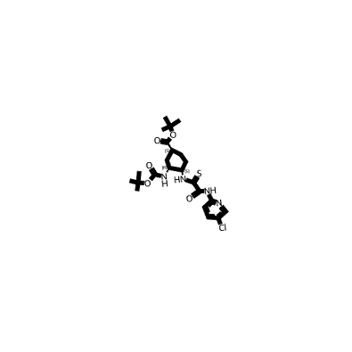 CC(C)(C)OC(=O)N[C@@H]1C[C@@H](C(=O)OC(C)(C)C)CC[C@@H]1NC(=S)C(=O)Nc1ccc(Cl)cn1